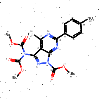 CC(C)(C)OC(=O)N(C(=O)OC(C)(C)C)c1nn(C(=O)OC(C)(C)C)c2nc(-c3ccc([N+](=O)[O-])cc3)nc(C(F)(F)F)c12